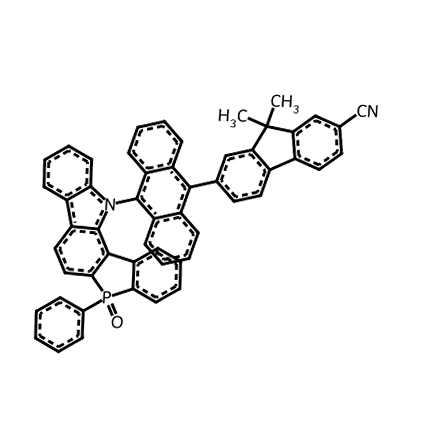 CC1(C)c2cc(C#N)ccc2-c2ccc(-c3c4ccccc4c(-n4c5ccccc5c5ccc6c(c54)-c4ccccc4P6(=O)c4ccccc4)c4ccccc34)cc21